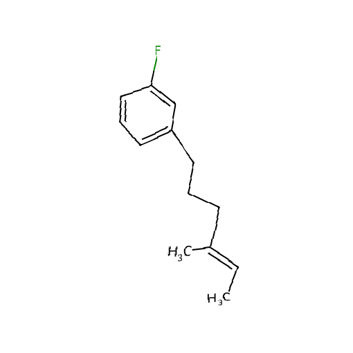 C/C=C(\C)CCCc1cccc(F)c1